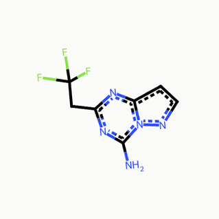 Nc1nc(CC(F)(F)F)nc2ccnn12